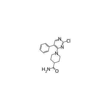 NC(=O)C1CCN(c2nc(Cl)ncc2-c2ccccc2)CC1